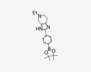 CCN1CCc2nc(-c3ccc(B4OC(C)(C)C(C)(C)O4)cc3)[nH]c2C1